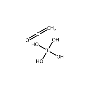 C=C=O.[OH][Ti]([OH])([OH])[OH]